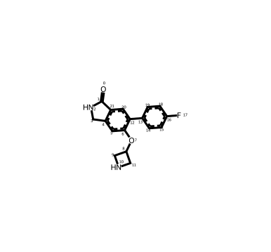 O=C1NCc2cc(OC3CNC3)c(-c3ccc(F)cc3)cc21